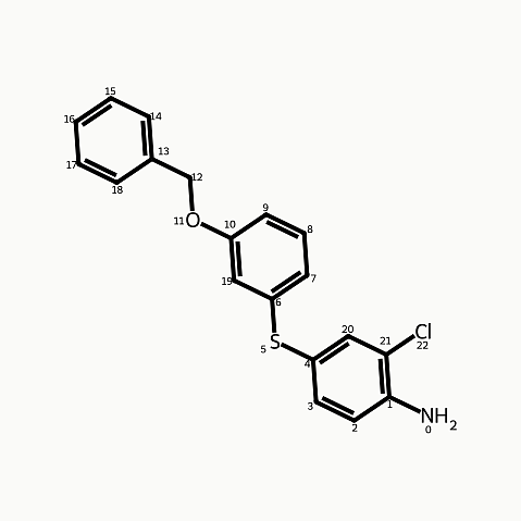 Nc1ccc(Sc2cccc(OCc3ccccc3)c2)cc1Cl